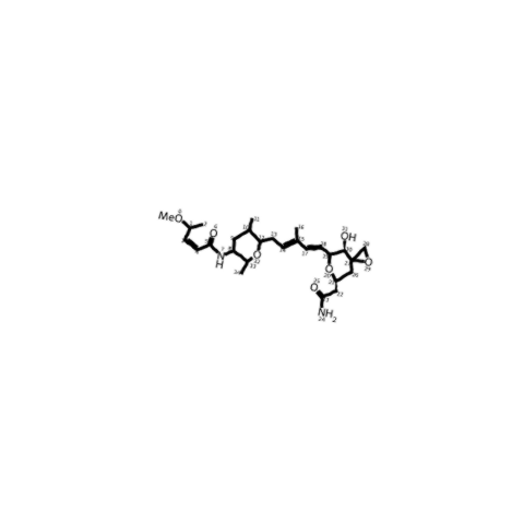 COC(C)/C=C\C(=O)NC1CC(C)C(C/C=C(C)/C=C/C2O[C@H](CC(N)=O)CC3(CO3)[C@@H]2O)OC1C